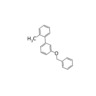 Cc1ccccc1-c1cccc(OCc2ccccc2)c1